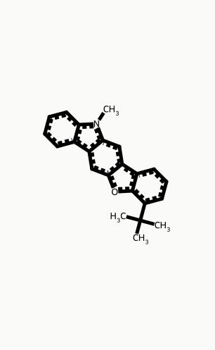 Cn1c2ccccc2c2cc3oc4c(C(C)(C)C)cccc4c3cc21